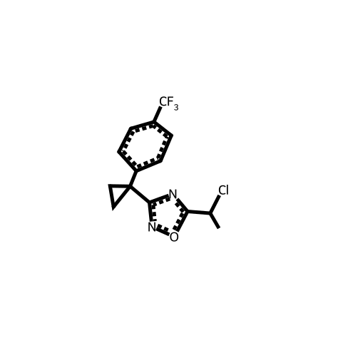 CC(Cl)c1nc(C2(c3ccc(C(F)(F)F)cc3)CC2)no1